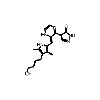 Cc1[nH]c(C=C2NC=CN=C2C2C=NNC2=O)c(C)c1CCCCO